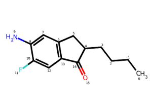 CCCCC1Cc2cc(N)c(F)cc2C1=O